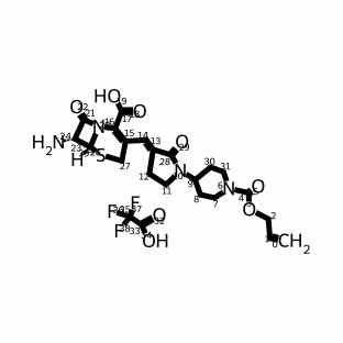 C=CCOC(=O)N1CCC(N2CC/C(=C\C3=C(C(=O)O)N4C(=O)[C@@H](N)[C@H]4SC3)C2=O)CC1.O=C(O)C(F)(F)F